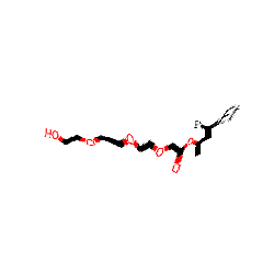 C=C(CC(CC)CC)OC(=O)COCCOCCOCCO